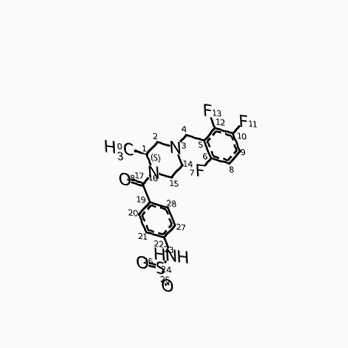 C[C@H]1CN(Cc2c(F)ccc(F)c2F)CCN1C(=O)c1ccc(N[SH](=O)=O)cc1